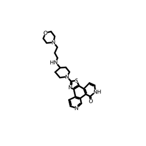 O=c1[nH]ccc2c3sc(N4CCC(NCCCN5CCOCC5)CC4)nc3c3ccncc3c12